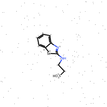 O=S(=O)(O)CCNc1nc2ccccc2[se]1